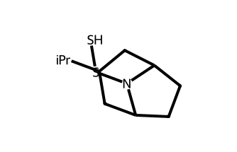 CC(C)C1CC2CCC(C1)N2SS